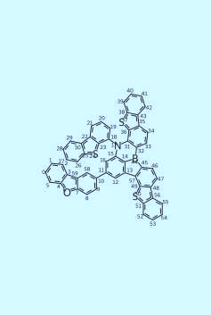 c1ccc2c(c1)oc1ccc(-c3cc4c5c(c3)N(c3cccc6c3sc3ccccc36)c3c(ccc6c3sc3ccccc36)B5c3ccc5c(sc6ccccc65)c3-4)cc12